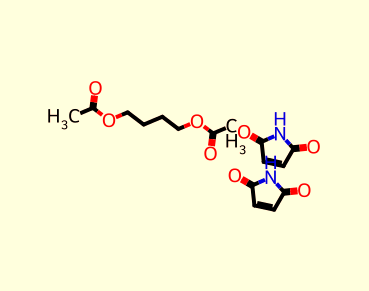 CC(=O)OCCCCOC(C)=O.O=C1C=CC(=O)N1.O=C1C=CC(=O)N1